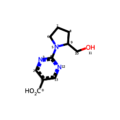 O=C(O)c1cnc(N2CCCC2CO)nc1